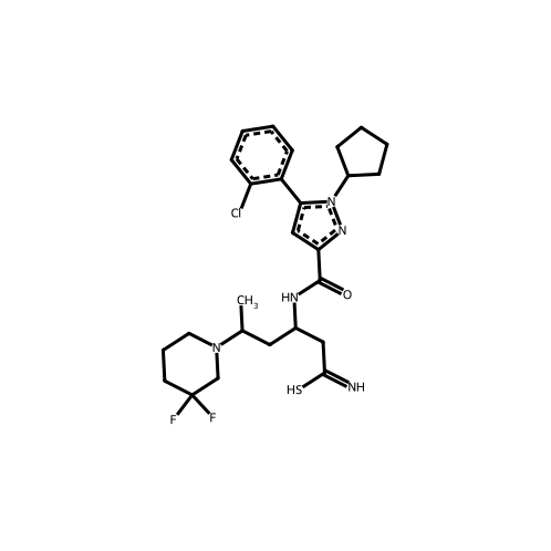 CC(CC(CC(=N)S)NC(=O)c1cc(-c2ccccc2Cl)n(C2CCCC2)n1)N1CCCC(F)(F)C1